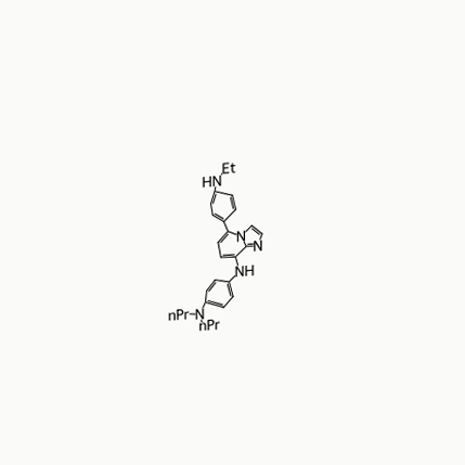 CCCN(CCC)c1ccc(Nc2ccc(-c3ccc(NCC)cc3)n3ccnc23)cc1